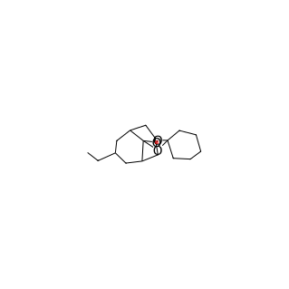 CCC1CC2CCCC(C1)C21OOC2(CCCCC2)O1